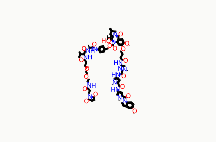 C=C1C[C@H]2C(O)N(C(=O)OCc3ccc(NC(=O)[C@H](C)NC(=O)[C@@H](NC(=O)CCOCCOCCNC(=O)CCN4C(=O)C=CC4=O)C(C)C)cc3)c3cc(OCCCC(=O)Nc4cn(C)c(C(=O)Nc5cc(C(=O)Nc6cc(C(=O)n7ccc8cc(OC)ccc87)n(C)c6)n(C)c5)n4)c(OC)cc3C(=O)N2C1